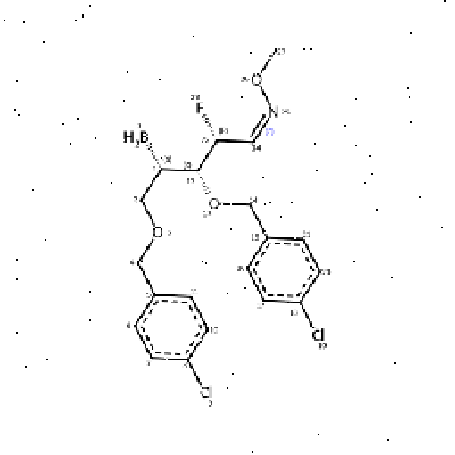 B[C@@H](COCc1ccc(Cl)cc1)[C@@H](OCc1ccc(Cl)cc1)[C@H](F)/C=N\OC